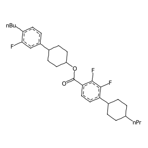 CCCCc1ccc(C2CCC(OC(=O)c3ccc(C4CCC(CCC)CC4)c(F)c3F)CC2)cc1F